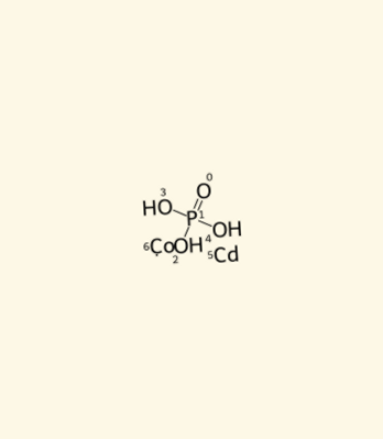 O=P(O)(O)O.[Cd].[Co]